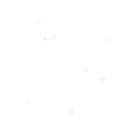 CCCCCC(P)(c1ccc(CCCC)c(CCCC)c1CCCC)c1ccc(CCCC)c(CCCC)c1CCCC